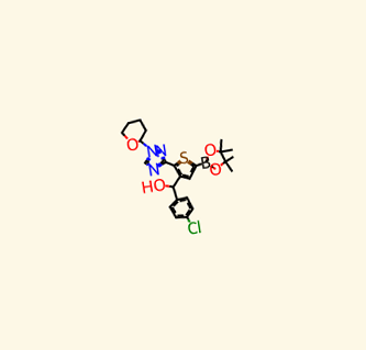 CC1(C)OB(c2cc(C(O)c3ccc(Cl)cc3)c(-c3ncn(C4CCCCO4)n3)s2)OC1(C)C